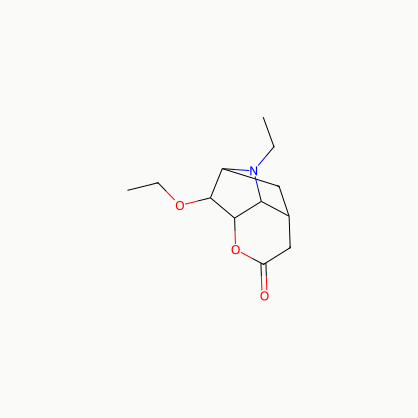 CCOC1C2OC(=O)CC3CC1N(CC)C32